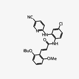 COc1cccc(OCC(C)C)c1C=CC(=O)Nc1ccc(Cl)cc1Nc1ccc(C#N)cn1